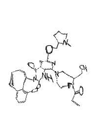 C=CC(=O)N1CCN(c2nc(OCC3CCCN3C)nc3c(=O)n(-c4cccc5cccc(Cl)c45)c(=O)[nH]c23)CC1CC#N